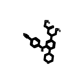 CCC(CC(=O)OC)c1ccc(N2CCOCC2)c(Nc2ccc(C#N)cc2)c1